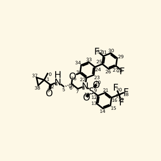 CC1(C(=O)NC[C@H]2CN(S(=O)(=O)c3cccc(C(F)(F)F)c3)c3cc(-c4cc(F)ccc4F)ccc3O2)CC1